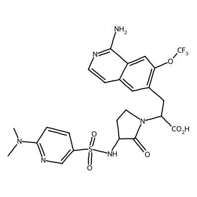 CN(C)c1ccc(S(=O)(=O)NC2CCN(C(Cc3cc4ccnc(N)c4cc3OC(F)(F)F)C(=O)O)C2=O)cn1